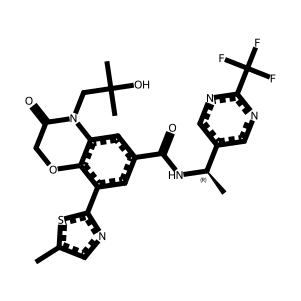 Cc1cnc(-c2cc(C(=O)N[C@H](C)c3cnc(C(F)(F)F)nc3)cc3c2OCC(=O)N3CC(C)(C)O)s1